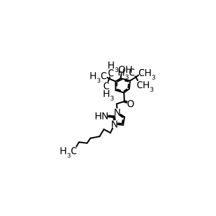 CCCCCCCn1ccn(CC(=O)c2cc(C(C)(C)C)c(O)c(C(C)(C)C)c2)c1=N